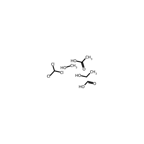 CC(=O)O.CCO.CO.ClC(Cl)Cl.O=CO